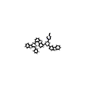 C=C/C=C\C(=C/C)c1nc(-c2ccc3sc4ccccc4c3c2)nc(-c2cccc3c2sc2cccc(-c4nc(-c5ccccc5)c5oc6ccccc6c5n4)c23)n1